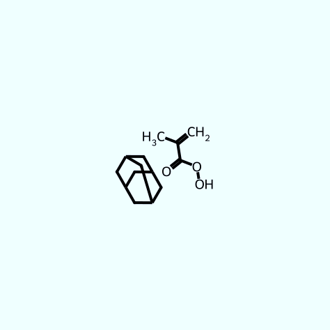 C1C2CC3CC1CC(C2)C3.C=C(C)C(=O)OO